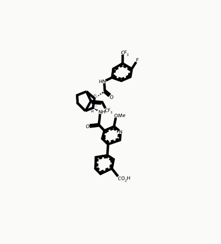 COc1ncc(-c2cccc(C(=O)O)c2)cc1C(=O)N[C@@H]1C2CCC(/C2=C/C(F)(F)F)[C@@H]1C(=O)Nc1ccc(F)c(C(F)(F)F)c1